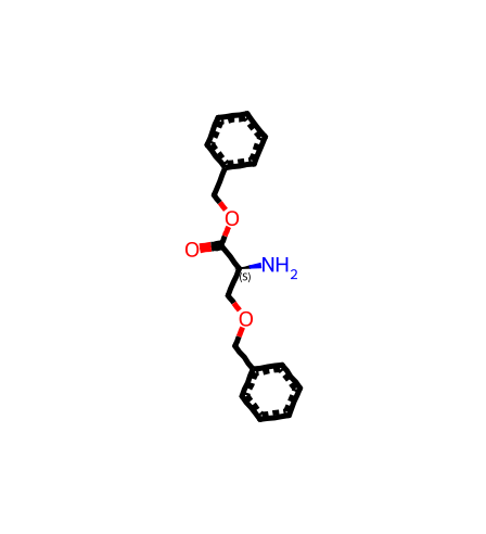 N[C@@H](COCc1ccccc1)C(=O)OCc1ccccc1